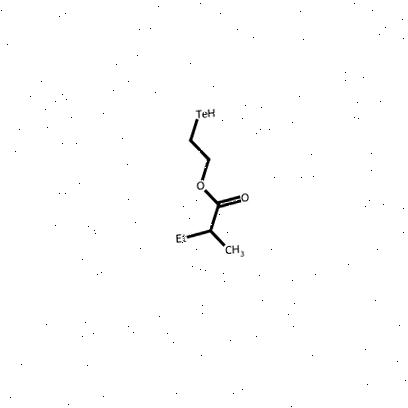 CCC(C)C(=O)OCC[TeH]